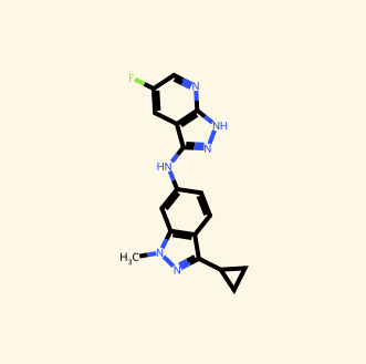 Cn1nc(C2CC2)c2ccc(Nc3n[nH]c4ncc(F)cc34)cc21